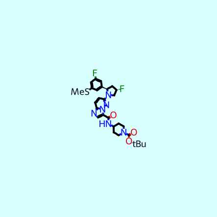 CSc1cc(F)cc([C@H]2C[C@H](F)CN2c2ccc3ncc(C(=O)NC4CCN(C(=O)OC(C)(C)C)CC4)n3n2)c1